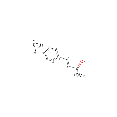 COC(=O)/C=C/c1ccc(CC(=O)O)cc1